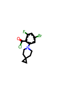 O=C(Cl)c1c(F)cc(Br)cc1N1CCC2(CC1)CC2